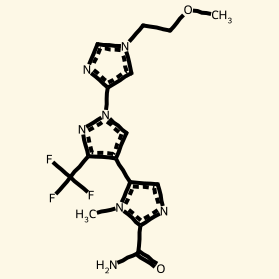 COCCn1cnc(-n2cc(-c3cnc(C(N)=O)n3C)c(C(F)(F)F)n2)c1